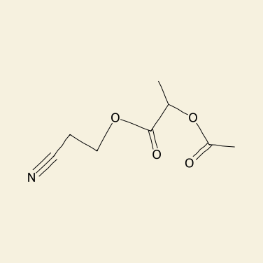 CC(=O)OC(C)C(=O)OCCC#N